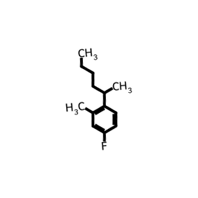 CCCCC(C)c1ccc(F)cc1C